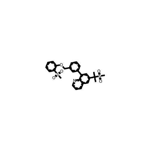 CC(C)(c1cc(-c2cccc(COc3ccccc3S(C)(=O)=O)c2)c2ncccc2c1)S(C)(=O)=O